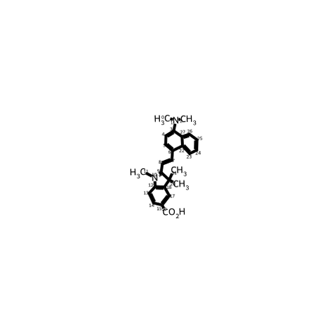 CN(C)c1ccc(/C=C/C2=[N+](C)c3ccc(C(=O)O)cc3C2(C)C)c2ccccc12